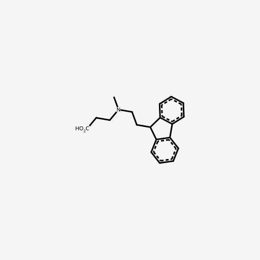 CN(CCC(=O)O)CCC1c2ccccc2-c2ccccc21